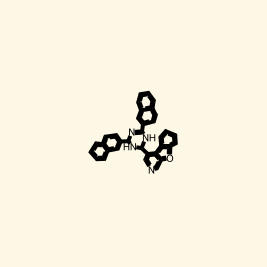 c1ccc2cc(C3=NC(c4ccc5ccccc5c4)NC(c4cncc5oc6ccccc6c45)N3)ccc2c1